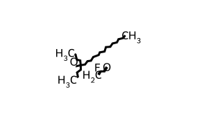 C=C(F)C=O.CCCCCCCCCCCCCCC(C=O)(CCCC)CCCC